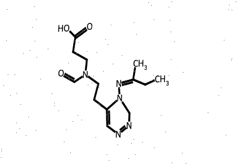 CC/C(C)=N\N1CN=NC=C1CCN(C=O)CCC(=O)O